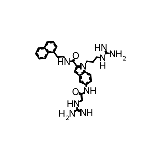 N=C(N)NCCCn1c(C(=O)NCCc2cccc3ccccc23)cc2cc(NC(=O)CNC(=N)N)ccc21